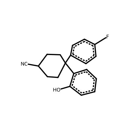 N#CC1CCC(c2ccc(F)cc2)(c2ccccc2O)CC1